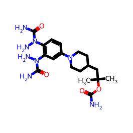 CC(C)(CC1CCN(c2ccc(N(N)C(N)=O)c(N(N)C(N)=O)c2)CC1)OC(N)=O